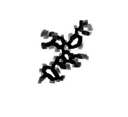 Cn1cc(-c2cccc(C[S+](C)[O-])c2)c(-c2cn(C)c(=O)c3[nH]c(-c4ccc(F)cc4F)cc23)cc1=O